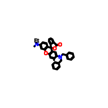 CCN(C)c1ccc2c(c1)Oc1cc(C)c(N(Cc3ccccc3)Cc3ccccc3)cc1C21OC(=O)c2ccccc21